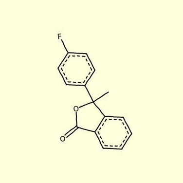 CC1(c2ccc(F)cc2)OC(=O)c2ccccc21